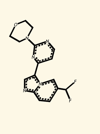 FC(F)c1ccc2ncc(-c3ccnc(N4CCOCC4)n3)n2c1